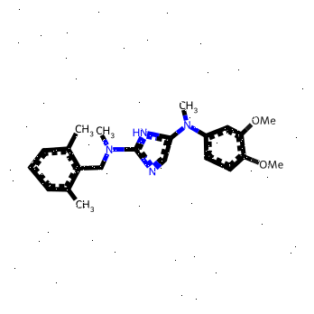 COc1ccc(N(C)c2cnc(N(C)Cc3c(C)cccc3C)[nH]2)cc1OC